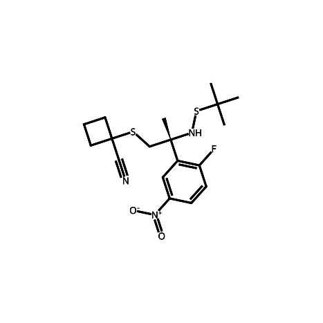 CC(C)(C)SN[C@@](C)(CSC1(C#N)CCC1)c1cc([N+](=O)[O-])ccc1F